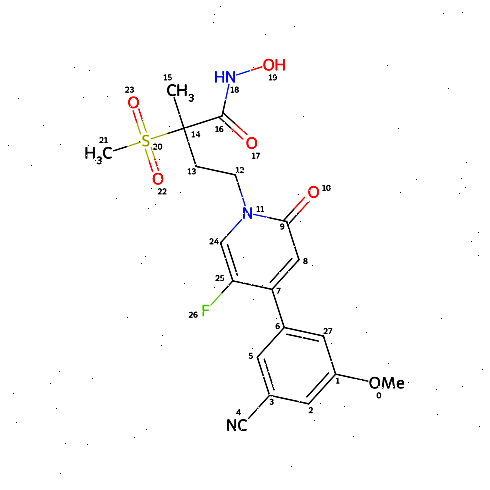 COc1cc(C#N)cc(-c2cc(=O)n(CCC(C)(C(=O)NO)S(C)(=O)=O)cc2F)c1